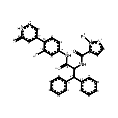 CCn1nccc1C(=O)NC(C(=O)Nc1ccc(-c2cn[nH]c(=O)c2)c(F)c1)C(c1ccccc1)c1ccccc1